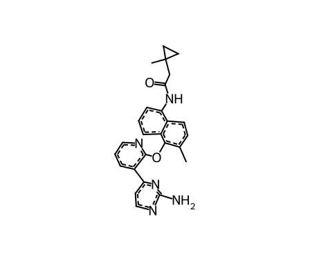 Cc1ccc2c(NC(=O)CC3(C)CC3)cccc2c1Oc1ncccc1-c1ccnc(N)n1